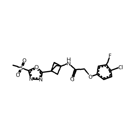 CS(=O)(=O)c1nnc(C23CC(NC(=O)COc4ccc(Cl)c(F)c4)(C2)C3)o1